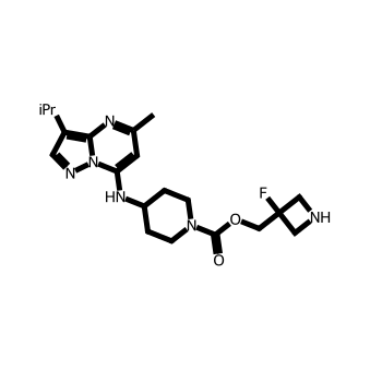 Cc1cc(NC2CCN(C(=O)OCC3(F)CNC3)CC2)n2ncc(C(C)C)c2n1